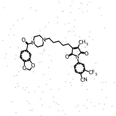 CC1=C(CCCCCN2CCN(C(=O)c3ccc4c(c3)OCO4)CC2)C(=O)N(c2ccc(C#N)c(C(F)(F)F)c2)C1=O